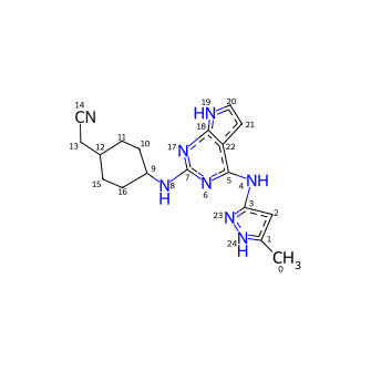 Cc1cc(Nc2nc(NC3CCC(CC#N)CC3)nc3[nH]ccc23)n[nH]1